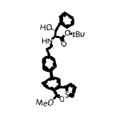 COC(=O)c1ccc(-c2ccc(CCNC(C(=O)OC(C)(C)C)[C@H](O)c3ccccc3)cc2)cc1-c1cccs1